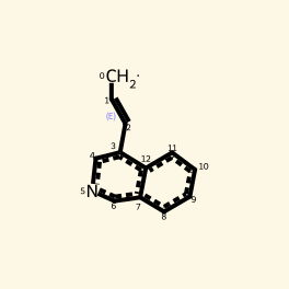 [CH2]/C=C/c1cncc2ccccc12